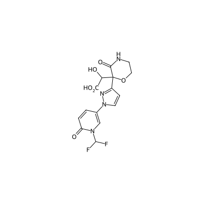 O=C(O)C(O)C1(c2ccn(-c3ccc(=O)n(C(F)F)c3)n2)OCCNC1=O